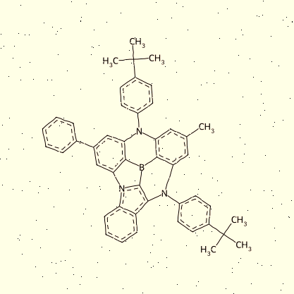 Cc1cc2c3c(c1)N(c1ccc(C(C)(C)C)cc1)c1c4n(c5ccccc15)-c1cc(-c5ccccc5)cc(c1B34)N2c1ccc(C(C)(C)C)cc1